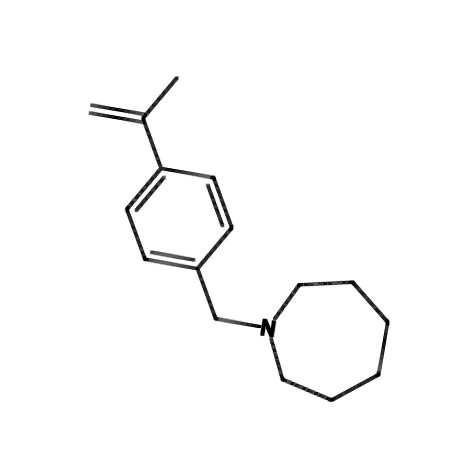 C=C(C)c1ccc(CN2CCCCCC2)cc1